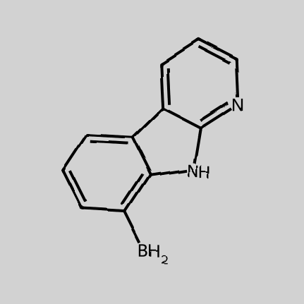 Bc1cccc2c1[nH]c1ncccc12